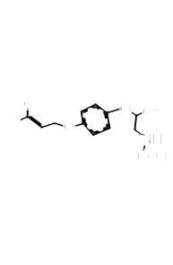 CCOC(=O)NCC(C)Oc1ccc(OCC=C(C)C)cc1